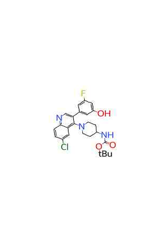 CC(C)(C)OC(=O)NC1CCN(c2c(-c3cc(O)cc(F)c3)cnc3ccc(Cl)cc23)CC1